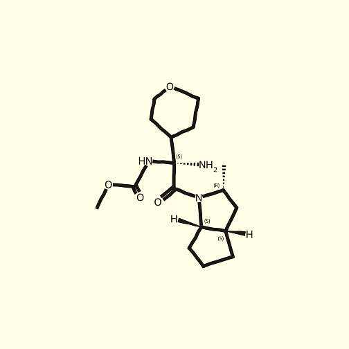 COC(=O)N[C@](N)(C(=O)N1[C@H](C)C[C@@H]2CCC[C@@H]21)C1CCOCC1